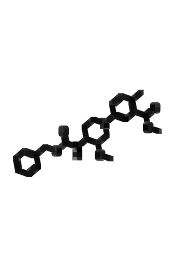 COC(=O)c1cc(N2CCC(NC(=O)OCc3ccccc3)C(OC)C2)ccc1C